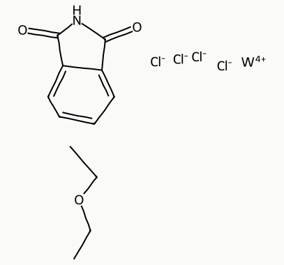 CCOCC.O=C1NC(=O)c2ccccc21.[Cl-].[Cl-].[Cl-].[Cl-].[W+4]